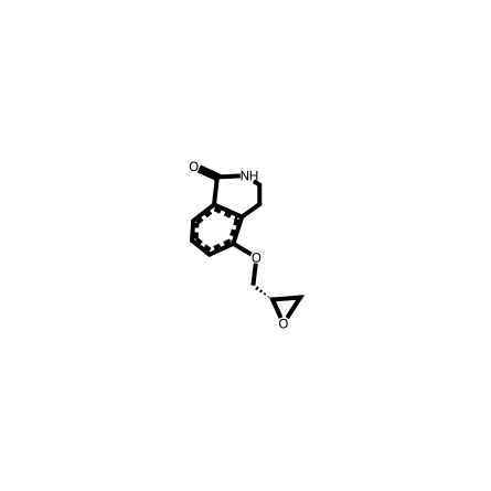 O=C1NCCc2c(OC[C@@H]3CO3)cccc21